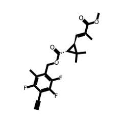 C#Cc1c(F)c(C)c(COC(=O)[C@@H]2[C@@H](/C=C(\C)C(=O)OC)C2(C)C)c(F)c1F